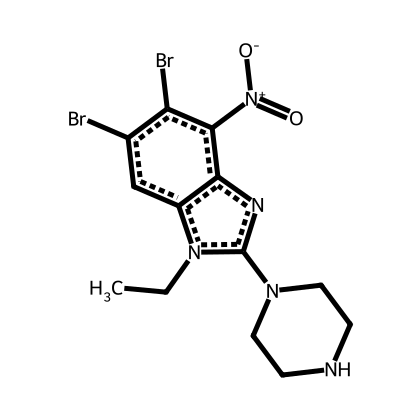 CCn1c(N2CCNCC2)nc2c([N+](=O)[O-])c(Br)c(Br)cc21